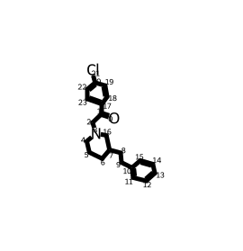 O=C(CN1CCCC(CCc2ccccc2)C1)c1ccc(Cl)cc1